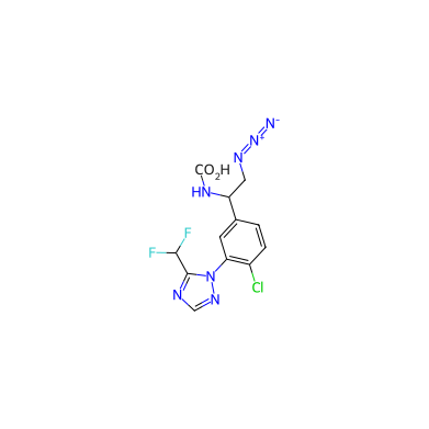 [N-]=[N+]=NCC(NC(=O)O)c1ccc(Cl)c(-n2ncnc2C(F)F)c1